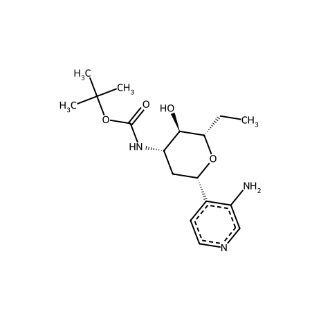 CC[C@@H]1O[C@H](c2ccncc2N)C[C@H](NC(=O)OC(C)(C)C)[C@H]1O